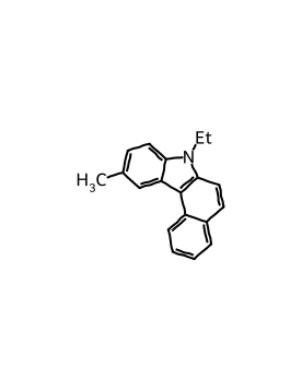 CCn1c2ccc(C)cc2c2c3ccccc3ccc21